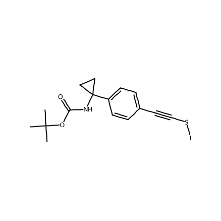 CC(C)(C)OC(=O)NC1(c2ccc(C#CSI)cc2)CC1